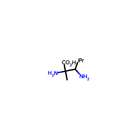 CC(C)C(N)C(C)(N)C(=O)O